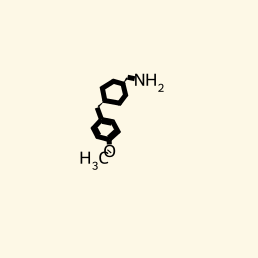 COc1ccc(C[C@H]2CC[C@@H](CN)CC2)cc1